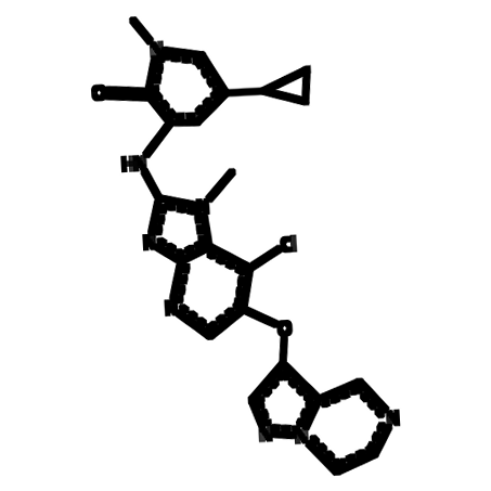 Cn1cc(C2CC2)cc(Nc2nc3ncc(Oc4cnn5ccncc45)c(Cl)c3n2C)c1=O